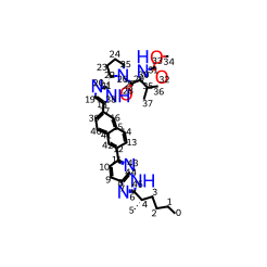 CCCC[C@H](C)c1nc2ccc(-c3ccc4cc(-c5cnc([C@@H]6CCCN6C(=O)[C@@H](NC(=O)OC)C(C)C)[nH]5)ccc4c3)nc2[nH]1